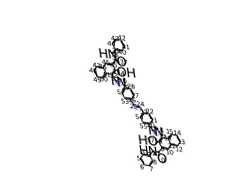 O=C(Nc1ccccc1)c1cc2ccccc2c(/N=N/c2ccc(/C=C/c3ccc(/N=N/c4c(O)c(C(=O)Nc5ccccc5)cc5ccccc45)cc3)cc2)c1O